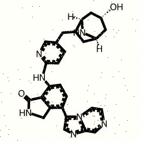 O=C1NCc2c(-c3cnc4cnccn34)ccc(Nc3ccc(CC4C[C@@H]5C[C@@H](O)C[C@H]4N5)cn3)c21